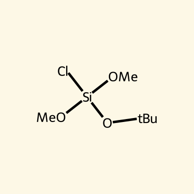 CO[Si](Cl)(OC)OC(C)(C)C